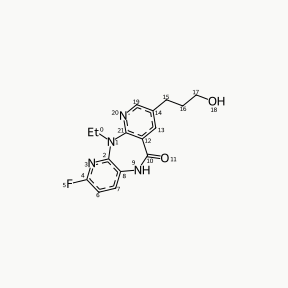 CCN1c2nc(F)ccc2NC(=O)c2cc(CCCO)cnc21